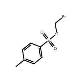 Cc1ccc(S(=O)(=O)OCBr)cc1